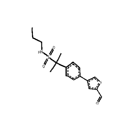 CCCNS(=O)(=O)C(C)(C)c1ccc(-c2csc(C=O)c2)cc1